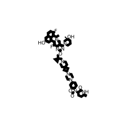 C=C1CCC(n2c(=O)oc3cc(N4CCN(C5CC6(CCN(CC7(COc8nc(N9CCC[C@@](C)(O)C9)c9cnc(-c%10cc(O)cc%11ccc(F)c(CC)c%10%11)c(F)c9n8)CC7)CC6)C5)CC4)ccc32)C(=O)N1